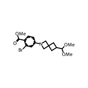 COC(=O)c1ccc(N2CC3(CC(C(OC)OC)C3)C2)cc1Br